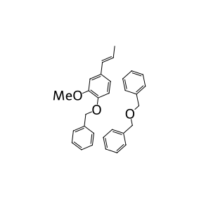 CC=Cc1ccc(OCc2ccccc2)c(OC)c1.c1ccc(COCc2ccccc2)cc1